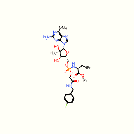 COc1nc(N)nc2c1ncn2[C@@H]1O[C@H](COP(=O)(N[C@@H](CC(C)C)C(=O)OC(C)C)OCC(=O)NCc2ccc(F)cc2)[C@@H](O)[C@@]1(C)O